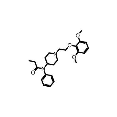 CCC(=O)N(c1ccccc1)C1CCN(CCOc2c(OC)cccc2OC)CC1